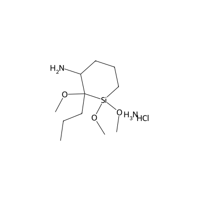 CCCC1(OC)C(N)CCC[Si]1(OC)OC.Cl.N